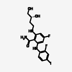 NC(=O)c1c(NCC[C@@H](O)CO)cc(F)cc1Nc1ccc(I)cc1F